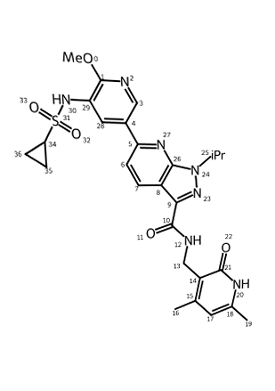 COc1ncc(-c2ccc3c(C(=O)NCc4c(C)cc(C)[nH]c4=O)nn(C(C)C)c3n2)cc1NS(=O)(=O)C1CC1